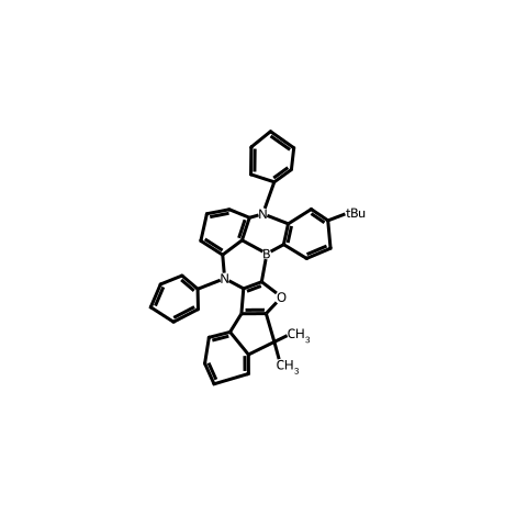 CC(C)(C)c1ccc2c(c1)N(c1ccccc1)c1cccc3c1B2c1oc2c(c1N3c1ccccc1)-c1ccccc1C2(C)C